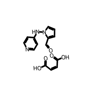 O=C(O)/C=C\C(=O)O.O=Cc1cccn1Nc1ccncc1